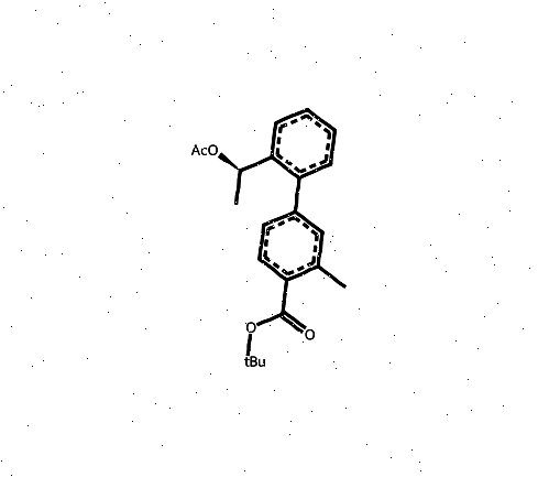 CC(=O)O[C@H](C)c1ccccc1-c1ccc(C(=O)OC(C)(C)C)c(C)c1